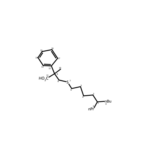 CCCCC(CCC)CCCCSCC(C)(C(=O)O)c1ccccc1